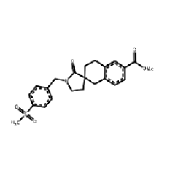 COC(=O)c1ccc2c(c1)CCC1(CCN(Cc3ccc(S(C)(=O)=O)cc3)C1=O)C2